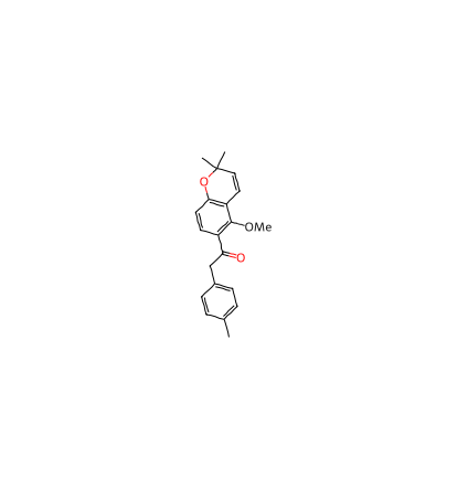 COc1c(C(=O)Cc2ccc(C)cc2)ccc2c1C=CC(C)(C)O2